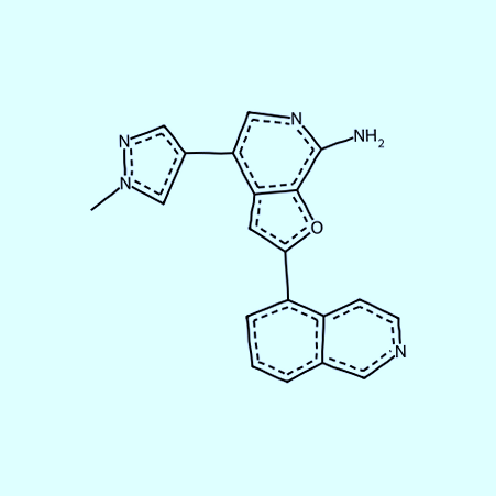 Cn1cc(-c2cnc(N)c3oc(-c4cccc5cnccc45)cc23)cn1